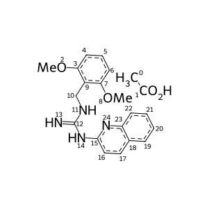 CC(=O)O.COc1cccc(OC)c1CNC(=N)Nc1ccc2ccccc2n1